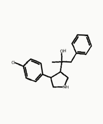 CC(O)(Cc1ccccc1)C1CNCC1c1ccc(Cl)cc1